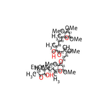 CC[C@H](OC)[C@@H](C)[C@H]1O[C@@H]1[C@H](O)[C@@H](C)/C=C/C=C(\C)[C@H]1O[C@@H](OC)C[C@H](OCCC[C@H](OC)[C@@H](C)[C@H]2O[C@@H]2[C@H](O)[C@@H](C)/C=C/C=C(\C)[C@H]2O[C@@H](OC)C[C@H](OC)[C@H]2OC)[C@@H]1OC